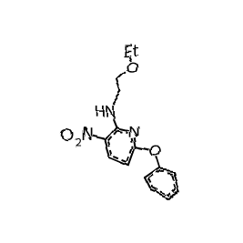 CCOCCNc1nc(Oc2ccccc2)ccc1[N+](=O)[O-]